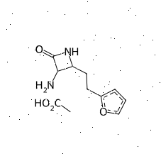 CC(=O)O.NC1C(=O)NC1CCc1ccco1